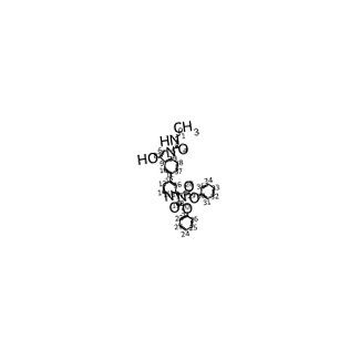 CCNC(=O)n1cc(O)c2cc(-c3ccnc(N(C(=O)Oc4ccccc4)C(=O)Oc4ccccc4)c3)ccc21